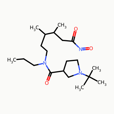 CCCN(CCC(C)C(C)CC(=O)N=O)C(=O)C1CCN(C(C)(C)C)C1